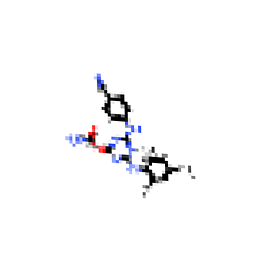 Cc1cc(C)c(Nc2nc(Nc3ccc(C#N)cc3)nc(OC(N)=O)n2)c(C)c1